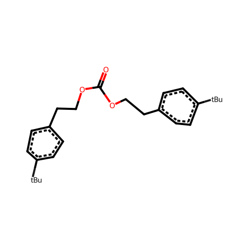 CC(C)(C)c1ccc(CCOC(=O)OCCc2ccc(C(C)(C)C)cc2)cc1